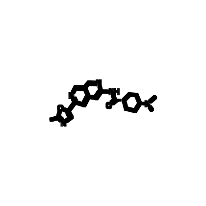 Cc1ncc(-c2cc3cc(NC(=O)[C@H]4CC[C@H](N(C)C)CC4)ncc3cn2)o1